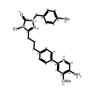 CCn1c(CCCc2ccc(-c3cc(OC)c(N)cn3)cc2)nn(Cc2ccc(C(C)(C)C)cc2)c1=O